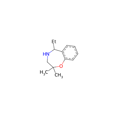 CCC1NCC(C)(C)Oc2ccccc21